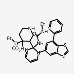 CCNC(=O)NC1(C2CNCCC2(OCC)C(=O)O)N=CC=CN1c1cc(-c2ccccn2)c2scnc2c1